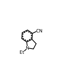 CCN1CCc2c(C#N)cccc21